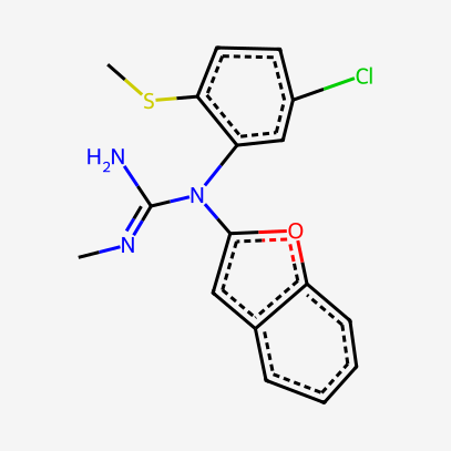 CN=C(N)N(c1cc2ccccc2o1)c1cc(Cl)ccc1SC